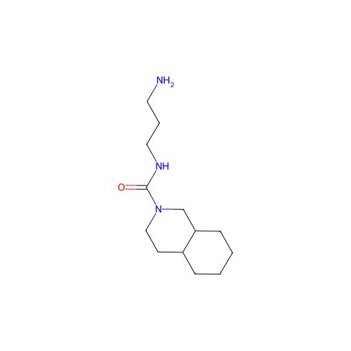 NCCCNC(=O)N1CCC2CCCCC2C1